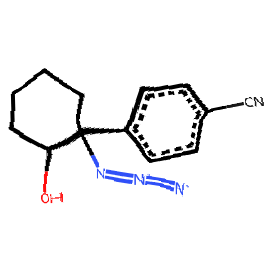 N#Cc1ccc(C2(N=[N+]=[N-])CCCCC2O)cc1